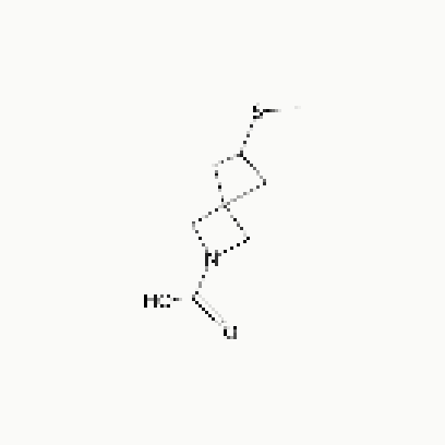 CSC1CC2(C1)CN(C(=O)O)C2